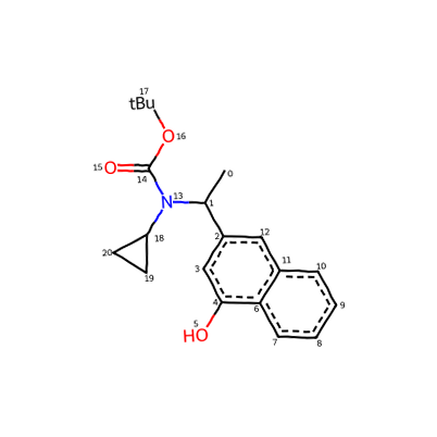 CC(c1cc(O)c2ccccc2c1)N(C(=O)OC(C)(C)C)C1CC1